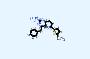 Cc1ccc(-c2ccc3nc(N)nc(Cc4ccccc4)c3n2)s1